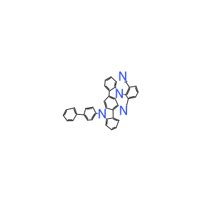 N#Cc1cccc(C#N)c1-n1c2ccccc2c2cc3c(cc21)c1ccccc1n3-c1ccc(-c2ccccc2)cc1